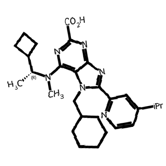 CC(C)c1ccnc(-c2nc3nc(C(=O)O)nc(N(C)[C@H](C)C4CCC4)c3n2CC2CCCCC2)c1